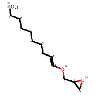 CCCCCCCCCCCCCCC/C=C/OCC1CO1